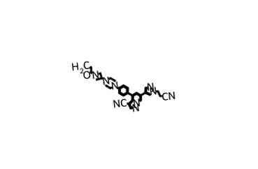 C=CC(=O)N1CC(N2CCN(c3ccc(-c4cc(-c5cnn(CCC#N)c5)cn5ncc(C#N)c45)cc3)CC2)C1